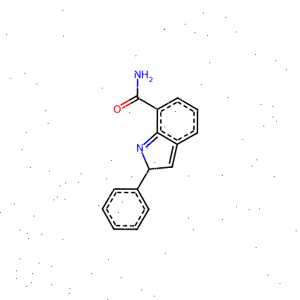 NC(=O)c1cccc2c1=NC(c1ccccc1)C=2